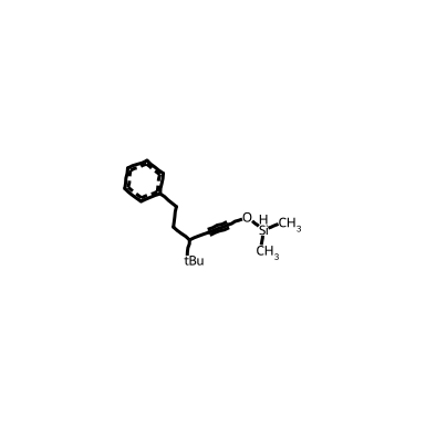 C[SiH](C)OC#CC(CCc1ccccc1)C(C)(C)C